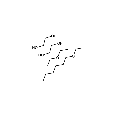 CCCCCCOCC.CCOCC.OCCO.OCCO